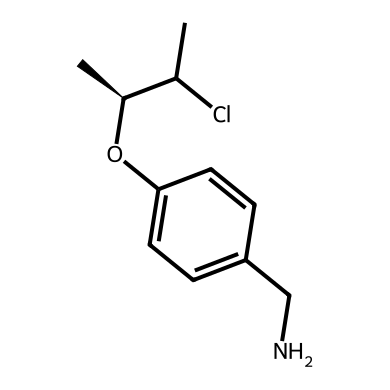 CC(Cl)[C@H](C)Oc1ccc(CN)cc1